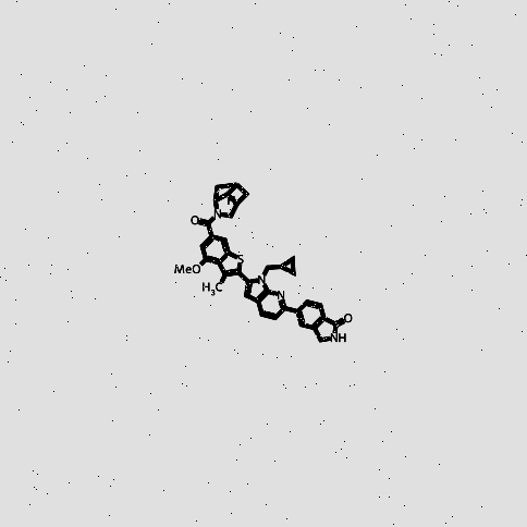 COc1cc(C(=O)N2CC3CC4CC2[C@H]43)cc2sc(-c3cc4ccc(-c5ccc6c(c5)CNC6=O)nc4n3CC3CC3)c(C)c12